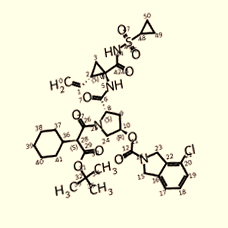 C=C[C@@H]1C[C@]1(NC(=O)[C@@H]1C[C@@H](OC(=O)N2Cc3cccc(Cl)c3C2)CN1C(=O)[C@@H](C(=O)OC(C)(C)C)C1CCCCC1)C(=O)NS(=O)(=O)C1CC1